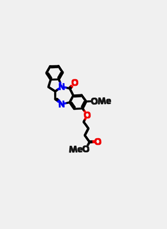 COC(=O)CCCOc1cc2c(cc1OC)C(=O)N1c3ccccc3CC1C=N2